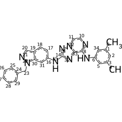 Cc1cc(C)cc(Nc2nccn3nc(Nc4ccc5cnn(Cc6ccccc6)c5c4)nc23)c1